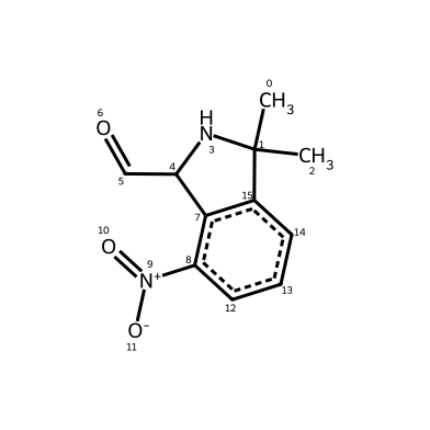 CC1(C)NC(C=O)c2c([N+](=O)[O-])cccc21